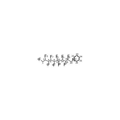 FCC(F)C(F)C(F)C(F)C(F)C(F)C(F)C(F)C(F)C[n+]1ccccc1